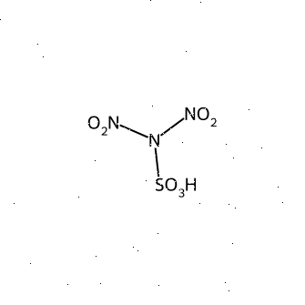 O=[N+]([O-])N([N+](=O)[O-])S(=O)(=O)O